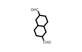 O=CC1CCC2CC(C=O)CCC2C1